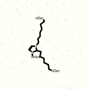 CCCCCCCCCCCCCCCCCN1C=CN(CCCCCC)C1CCCCCCCCCCCCCCCC